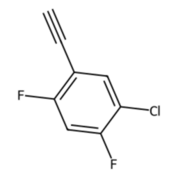 C#Cc1cc(Cl)c(F)cc1F